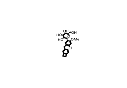 COc1cc(Cl)c(Cc2ccc3c(c2)CC3)cc1[C@@H]1O[C@H](CO)[C@@H](O)[C@H](O)[C@H]1O